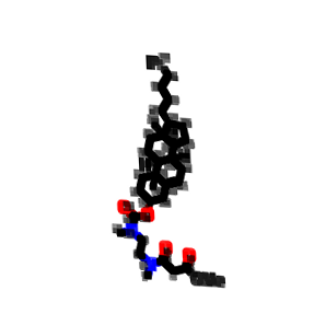 COC(=O)CC(=O)N(C)CCN(C)C(=O)O[C@H]1CC[C@@]2(C)C(=CC[C@H]3[C@@H]4CC[C@H](CCCCC(C)C)[C@@]4(C)CC[C@@H]32)C1